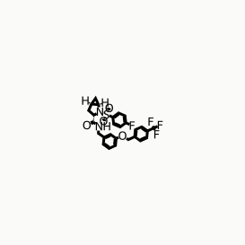 O=C(NCc1cccc(OCc2ccc(C(F)(F)F)cc2)c1)[C@@H]1C[C@H]2C[C@H]2N1S(=O)(=O)c1ccc(F)cc1